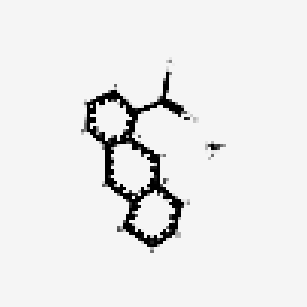 O=C([O-])c1cccc2cc3ccccc3cc12.[Na+]